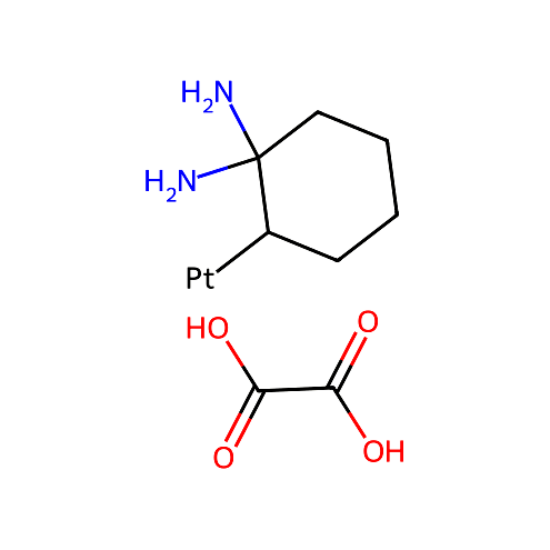 NC1(N)CCCC[CH]1[Pt].O=C(O)C(=O)O